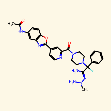 CC(=O)Nc1ccc2oc(-c3ccnc(C(=O)N4CCN(C(F)(/C(N)=N/N(C)N)c5ccccc5)CC4)c3)nc2c1